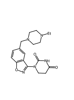 CCN1CCN(Cc2ccc3onc(N4CCC(=O)NC4=O)c3c2)CC1